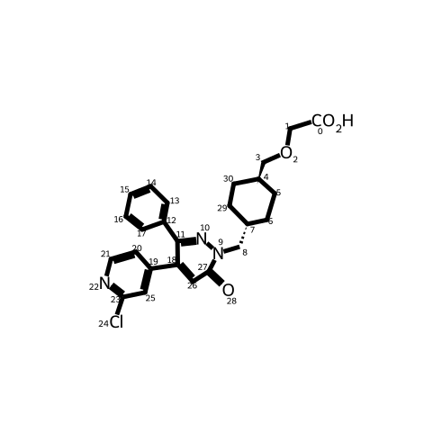 O=C(O)COC[C@H]1CC[C@H](Cn2nc(-c3ccccc3)c(-c3ccnc(Cl)c3)cc2=O)CC1